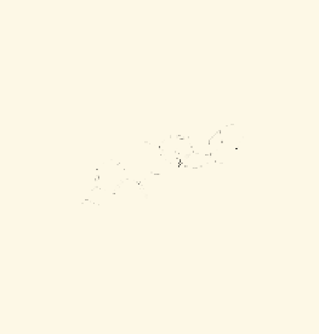 O=C(CNC(=O)c1cccc(C(F)(F)F)c1)NC1CC2CCC(C1)N2Cc1ccc(Cl)cc1